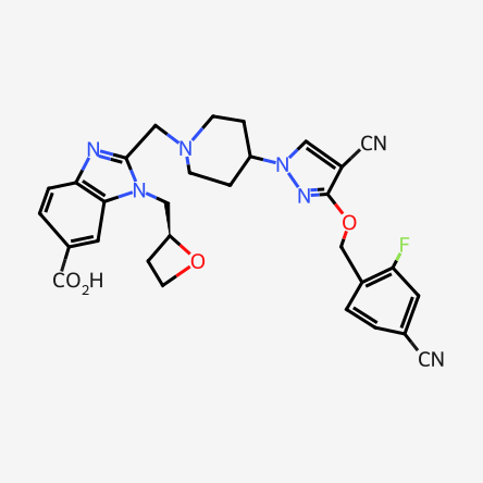 N#Cc1ccc(COc2nn(C3CCN(Cc4nc5ccc(C(=O)O)cc5n4C[C@@H]4CCO4)CC3)cc2C#N)c(F)c1